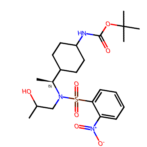 CC(O)CN([C@@H](C)C1CCC(NC(=O)OC(C)(C)C)CC1)S(=O)(=O)c1ccccc1[N+](=O)[O-]